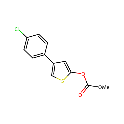 COC(=O)Oc1cc(-c2ccc(Cl)cc2)cs1